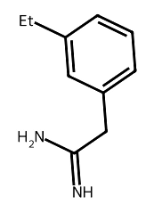 CCc1cccc(CC(=N)N)c1